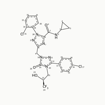 O=C(NC1CC1)c1nc(Cn2nc(-c3ccc(Cl)cc3)n(C[C@H](O)C(F)(F)F)c2=O)nn1-c1ccccc1Cl